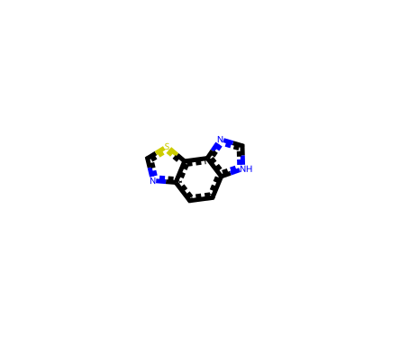 c1nc2c(ccc3ncsc32)[nH]1